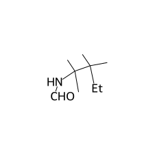 CCC(C)(C)C(C)(C)NC=O